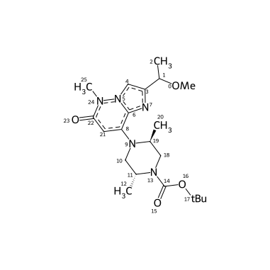 COC(C)c1cn2c(n1)c(N1C[C@@H](C)N(C(=O)OC(C)(C)C)C[C@@H]1C)cc(=O)n2C